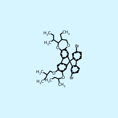 CCC(C)COc1cc2c(cc1OC(C)CC)C1(c3cc(Br)ccc3-c3ccc(Br)cc31)c1cc3c(cc1-2)OC(C(C)CC)C(CC)CO3